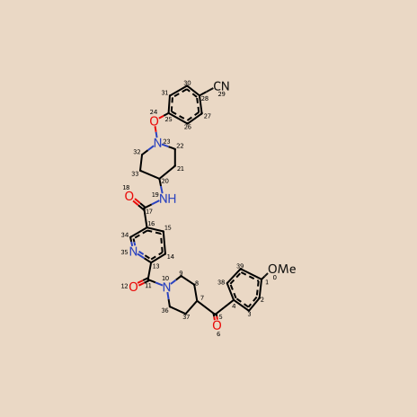 COc1ccc(C(=O)C2CCN(C(=O)c3ccc(C(=O)NC4CCN(Oc5ccc(C#N)cc5)CC4)cn3)CC2)cc1